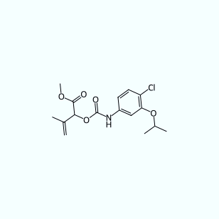 C=C(C)C(OC(=O)Nc1ccc(Cl)c(OC(C)C)c1)C(=O)OC